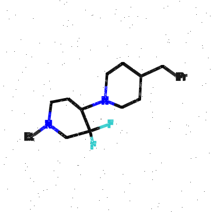 CCN1CCC(N2CCC(CC(C)C)CC2)C(F)(F)C1